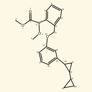 COC(=O)N(OC)c1ccccc1COc1cccc(C2CC2C2CC2)c1